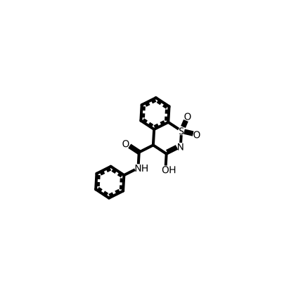 O=C(Nc1ccccc1)C1C(O)=NS(=O)(=O)c2ccccc21